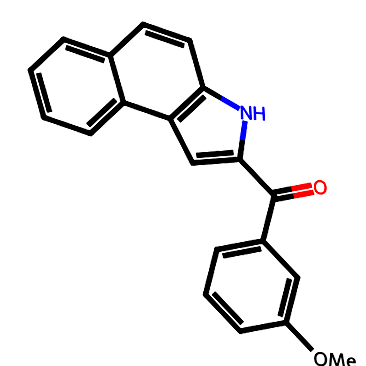 COc1cccc(C(=O)c2cc3c(ccc4ccccc43)[nH]2)c1